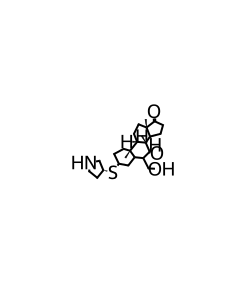 C[C@]12CCC(S[C@@H]3CCNC3)CC1C(CO)C(=O)[C@@H]1[C@H]2CC[C@]2(C)C(=O)CC[C@@H]12